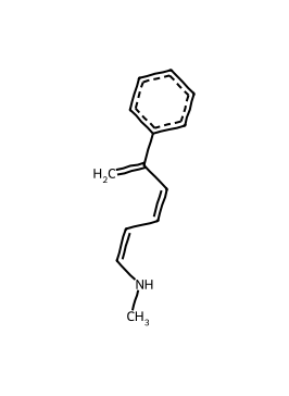 C=C(/C=C\C=C/NC)c1ccccc1